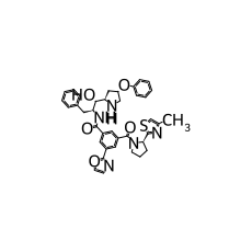 Cc1csc([C@H]2CCCN2C(=O)c2cc(C(=O)N[C@@H](Cc3ccccc3)[C@H](O)[C@H]3C[C@@H](Oc4ccccc4)CN3)cc(-c3ncco3)c2)n1